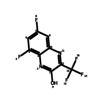 Oc1nc2c(F)cc(F)cc2nc1C(F)(F)F